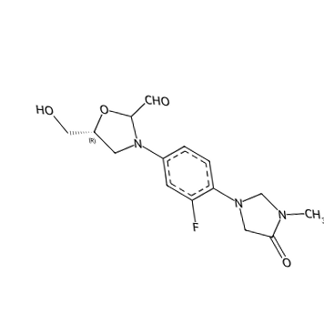 CN1CN(c2ccc(N3C[C@H](CO)OC3C=O)cc2F)CC1=O